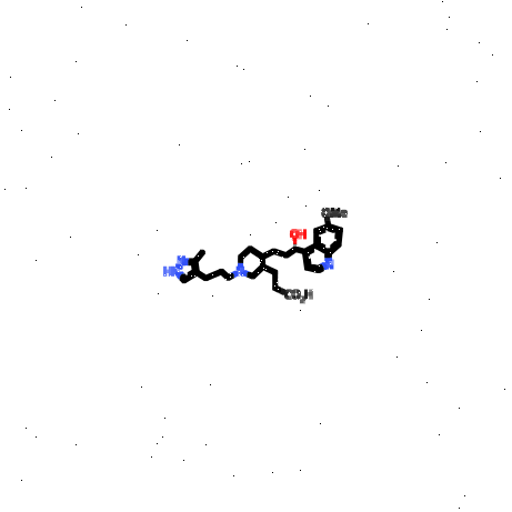 COc1ccc2nccc([C@@H](O)CCC3CCN(CCCc4c[nH]nc4C)CC3CCC(=O)O)c2c1